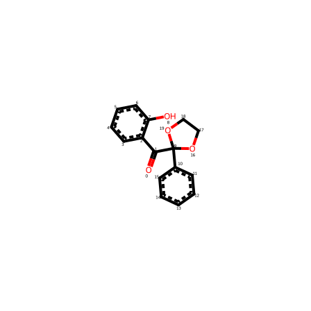 O=C(c1ccccc1O)C1(c2ccccc2)OCCO1